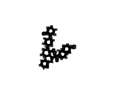 O=C1C(N(Cc2ccccn2)S(=O)(=O)c2ccc3cc(Cl)ccc3c2)CCCN1c1ccc(-n2ccccc2=O)cc1